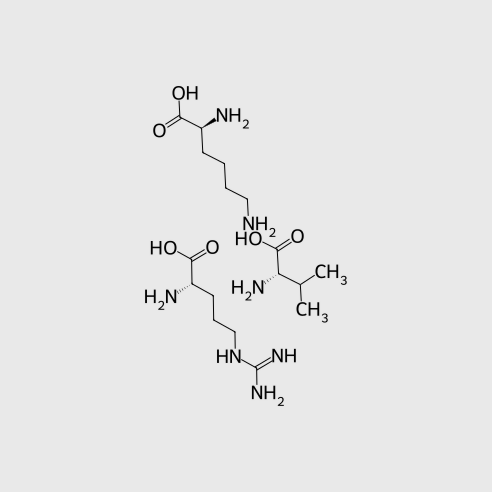 CC(C)[C@H](N)C(=O)O.N=C(N)NCCC[C@H](N)C(=O)O.NCCCC[C@H](N)C(=O)O